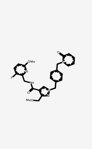 COCc1nn(Cc2ccc(Cn3ccccc3=O)cc2)cc1C(=O)NCc1nc(OC)ccc1F